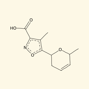 Cc1c(C(=O)O)noc1C1CC=CC(C)O1